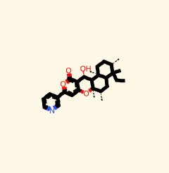 CCC1(C)C2C[C@H](C)[C@@]3(C)Oc4cc(-c5cccnc5)oc(=O)c4[C@H](O)C3[C@@]2(C)CC[C@@H]1C